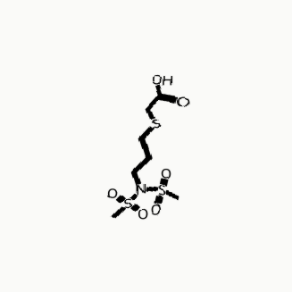 CS(=O)(=O)N(CCCSCC(=O)O)S(C)(=O)=O